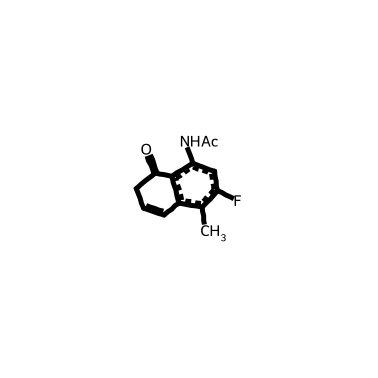 CC(=O)Nc1cc(F)c(C)c2c1C(=O)CC=C2